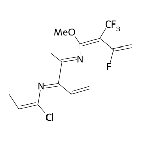 C=CC(=N\C(Cl)=C/C)/C(C)=N/C(OC)=C(\C(=C)F)C(F)(F)F